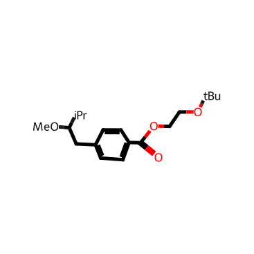 COC(Cc1ccc(C(=O)OCCOC(C)(C)C)cc1)C(C)C